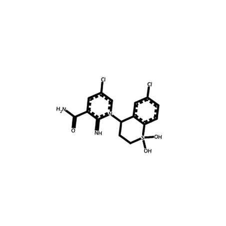 N=c1c(C(N)=O)cc(Cl)cn1C1CCS(O)(O)c2ccc(Cl)cc21